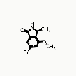 CSc1cc(Br)cc2c1C(C)NC2=O